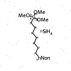 CCCCCCCCCCCCCCCC[Si](OC)(OC)OC.[SiH4]